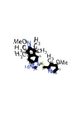 CO/N=C1\C(C)(C)c2cc3c(cc2C1(C)C)N(SCc1nccc(OC)c1C)CN3